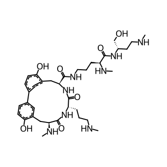 CNCCC[C@@H]1NC(=O)[C@@H](NC)Cc2cc(ccc2O)-c2ccc(O)c(c2)C[C@@H](C(=O)NCCC[C@H](NC)C(=O)N[C@H](CO)CCNC)NC1=O